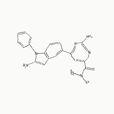 CCN(CC)C(=O)c1cc(-c2ccc3c(c2)cc(N)n3-c2ccccc2)nc(N)n1